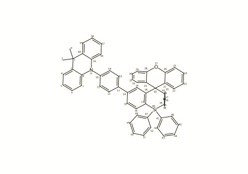 CC1(C)c2ccccc2N(c2ccc(-c3ccc4c(c3)C3(c5ccccc5Oc5ccccc53)c3ccccc3[Si]4(c3ccccc3)c3ccccc3)cc2)c2ccccc21